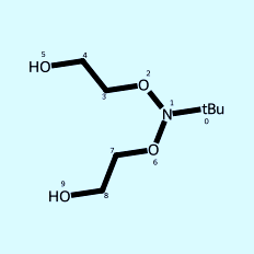 CC(C)(C)N(OCCO)OCCO